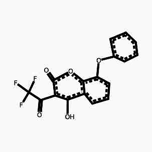 O=C(c1c(O)c2cccc(Oc3ccccc3)c2oc1=O)C(F)(F)F